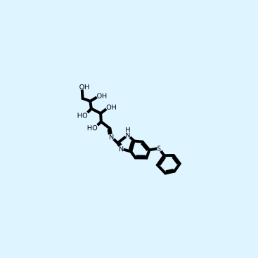 OCC(O)C(O)C(O)C(O)/C=N/c1nc2ccc(Sc3ccccc3)cc2[nH]1